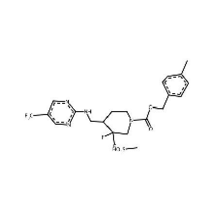 CS(=O)(=O)O.Cc1ccc(COC(=O)N2CCC(CNc3ncc(C(F)(F)F)cn3)C(F)(F)C2)cc1